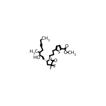 CCC#CCC(C)[C@@H](O)C=C[C@H]1CC(F)(F)C(=O)N1CCCc1ccc(C(=O)OC)s1